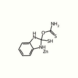 NC(=S)OC1(S)Nc2ccccc2N1.[Zn]